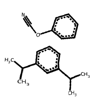 CC(C)c1cccc(C(C)C)c1.N#COc1ccccc1